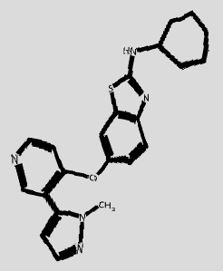 Cn1nccc1-c1cnccc1Oc1ccc2nc(NC3CCCCC3)sc2c1